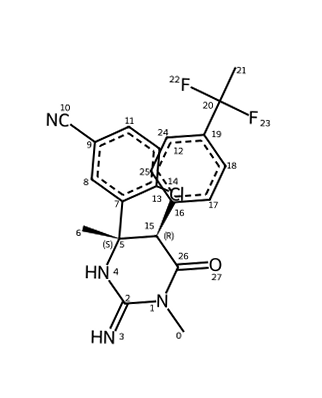 CN1C(=N)N[C@](C)(c2cc(C#N)ccc2Cl)[C@@H](c2ccc(C(C)(F)F)cc2)C1=O